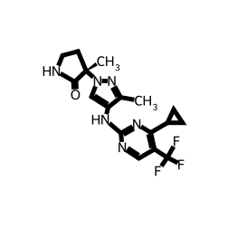 Cc1nn([C@@]2(C)CCNC2=O)cc1Nc1ncc(C(F)(F)F)c(C2CC2)n1